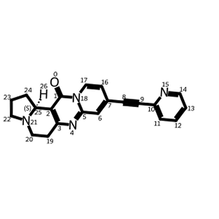 O=c1c2c(nc3cc(C#Cc4ccccn4)ccn13)CCN1CCC[C@@H]21